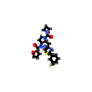 O=C(N[C@H]1CCN(C(=O)N2CCC2)[C@H]1Cc1csc(-c2cccc(F)c2)n1)[C@@H]1CCCO1